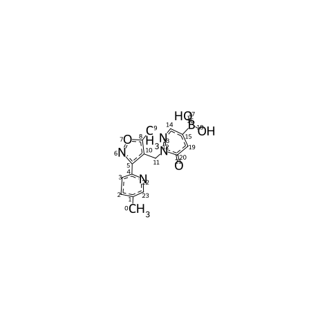 Cc1ccc(-c2noc(C)c2Cn2ncc(B(O)O)cc2=O)nc1